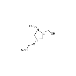 COCO[C@H]1C[C@@H](CO)N(C(=O)O)C1